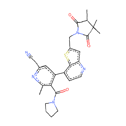 Cc1nc(C#N)cc(-c2ccnc3cc(CN4C(=O)C(C)C(C)(C)C4=O)sc23)c1C(=O)N1CCCC1